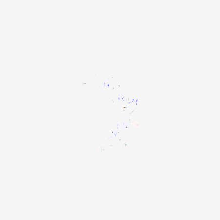 CC(C)(C)C1CCCN(C2CCN(c3ncc(C(=O)NCc4ncc(F)cc4F)s3)CC2)C1